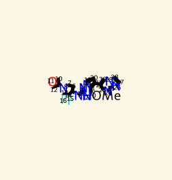 COc1nc(NC2CCN(C3COC3)CC2(F)F)nn2ccc(-c3cnc4nccn4c3)c12